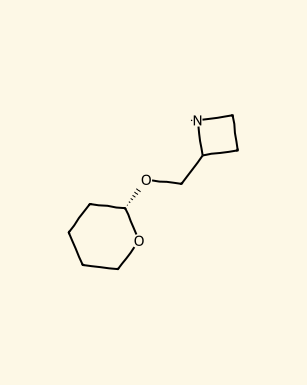 C1CC[C@H](OCC2CC[N]2)OC1